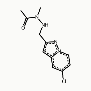 CC(=O)N(C)NCc1cc2cc(Cl)ccn2n1